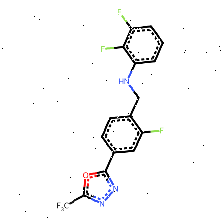 Fc1cc(-c2nnc(C(F)(F)F)o2)ccc1CNc1cccc(F)c1F